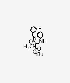 CN(C(=O)OC(C)(C)C)[C@H]1CNc2ccc(F)cc2N(Cc2ccccc2)C1=O